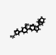 Cn1cc(-c2ccc(-c3cc4c(nn3)N(C3CC5CCC(C3)N5)CC4)c(O)c2)cn1